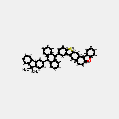 CC1(C)c2ccccc2-c2cc(-c3c4ccccc4c(-c4ccc5sc6cc7c(ccc8oc9ccccc9c87)cc6c5c4)c4ccccc34)ccc21